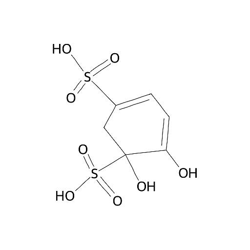 O=S(=O)(O)C1=CC=C(O)C(O)(S(=O)(=O)O)C1